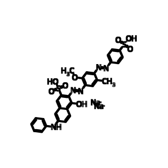 COc1cc(N=Nc2ccc(S(=O)(=O)O)cc2)c(C)cc1N=Nc1c(S(=O)(=O)O)cc2cc(Nc3ccccc3)ccc2c1O.[Na].[Na]